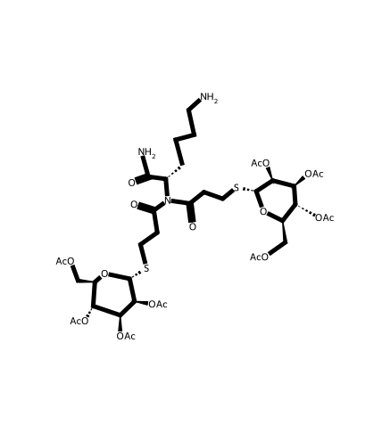 CC(=O)OC[C@H]1O[C@H](SCCC(=O)N(C(=O)CCS[C@H]2O[C@H](COC(C)=O)[C@@H](OC(C)=O)[C@H](OC(C)=O)[C@@H]2OC(C)=O)[C@@H](CCCCN)C(N)=O)[C@@H](OC(C)=O)[C@@H](OC(C)=O)[C@@H]1OC(C)=O